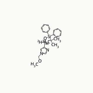 [2H]C([2H])(O[Si](c1ccccc1)(c1ccccc1)C(C)(C)C)c1cn(COC)cn1